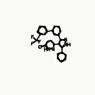 O=c1ccc(-c2c(-c3cccc(-c4cccc(C(F)(F)F)c4)c3)n[nH]c2-c2ccccc2)n[nH]1